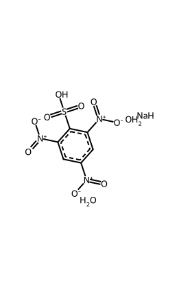 O.O.O=[N+]([O-])c1cc([N+](=O)[O-])c(S(=O)(=O)O)c([N+](=O)[O-])c1.[NaH]